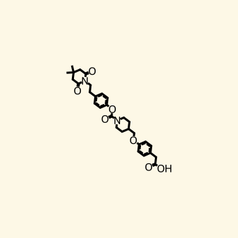 CC1(C)CC(=O)N(CCc2ccc(OC(=O)N3CCC(COc4ccc(CC(=O)O)cc4)CC3)cc2)C(=O)C1